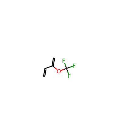 C=CC(=C)OC(F)(F)F